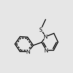 CSN1CC=CN=C1c1ccccn1